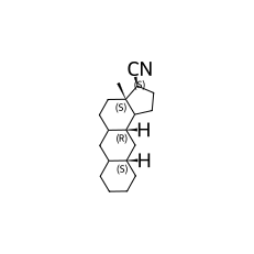 C[C@]12CCC3CC4CCCC[C@H]4C[C@H]3C1CC[C@@H]2C#N